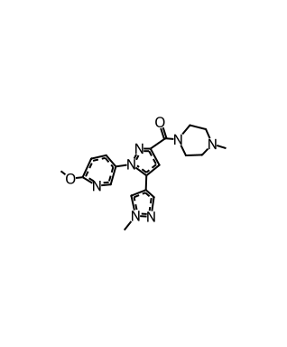 COc1ccc(-n2nc(C(=O)N3CCN(C)CC3)cc2-c2cnn(C)c2)cn1